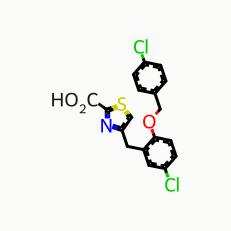 O=C(O)c1nc(Cc2cc(Cl)ccc2OCc2ccc(Cl)cc2)cs1